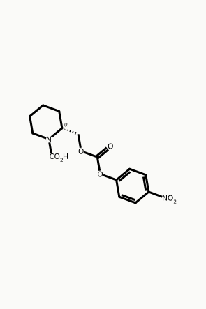 O=C(OC[C@H]1CCCCN1C(=O)O)Oc1ccc([N+](=O)[O-])cc1